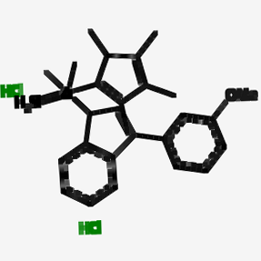 COc1cccc(C2=C[CH]([Zr]([CH3])([CH3])(=[SiH2])[C]3=C(C)C(C)=C(C)C3C)c3ccccc32)c1.Cl.Cl